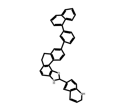 C1=Cc2cc(C3Nc4ccc5c(c4O3)-c3ccc(-c4cccc(-c6cccc7ccccc67)c4)cc3CC5)ccc2NC1